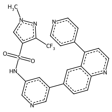 Cn1cc(S(=O)(=O)Nc2cncc(-c3ccc4nccc(-c5ccncc5)c4c3)c2)c(C(F)(F)F)n1